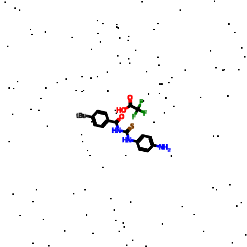 CC(C)(C)c1ccc(C(=O)NC(=S)Nc2ccc(N)cc2)cc1.O=C(O)C(F)(F)F